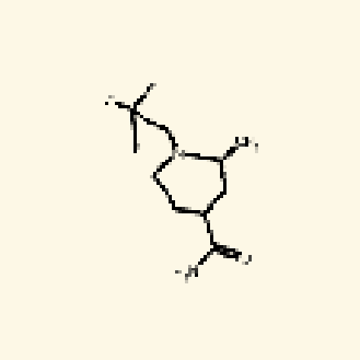 CC1CC(C(N)=O)CCN1CC(F)(F)F